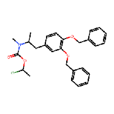 CC(Cl)OC(=O)N(C)C(C)Cc1ccc(OCc2ccccc2)c(OCc2ccccc2)c1